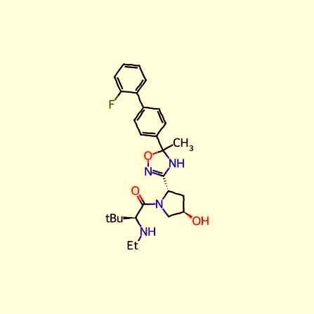 CCN[C@H](C(=O)N1C[C@H](O)C[C@H]1C1=NOC(C)(c2ccc(-c3ccccc3F)cc2)N1)C(C)(C)C